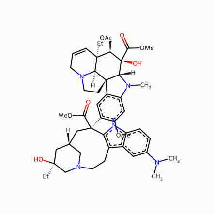 CC[C@]1(O)C[C@H]2CN(CCc3c([nH]c4ccc(N(C)C)cc34)[C@@](C(=O)OC)(c3cc4c(cc3OC)N(C)[C@H]3[C@@](O)(C(=O)OC)[C@H](OC(C)=O)[C@]5(CC)C=CCN6CC[C@]43[C@@H]65)C2)C1